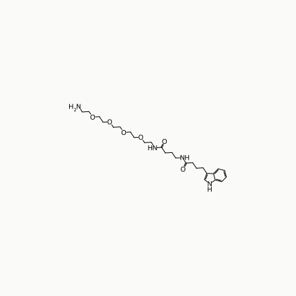 NCCOCCOCCOCCOCCNC(=O)CCCNC(=O)CCCc1c[nH]c2ccccc12